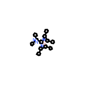 c1ccc(-c2ccc3c(c2)c2cc(-c4ccccc4)cc4c2n3-c2cc(-c3cc(-c5ccccc5)nc(-c5ccccc5)n3)cc3c2B4c2cc(-c4ccccc4)cc4c5cc(-c6ccccc6)ccc5n-3c24)cc1